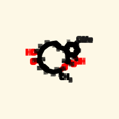 COc1cc(O)c2c(c1)/C=C/CC[C@H](O)C(=O)/C=C\C[C@H](C)OC2=O